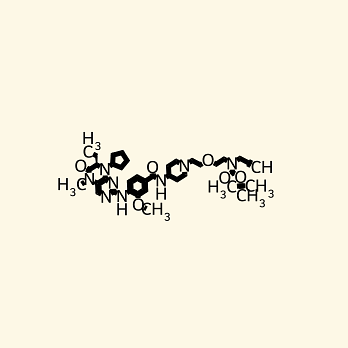 C#CCN(CCOCCN1CCC(NC(=O)c2ccc(Nc3ncc4c(n3)N(C3CCCC3)[C@H](CC)C(=O)N4C)c(OC)c2)CC1)C(=O)OC(C)(C)C